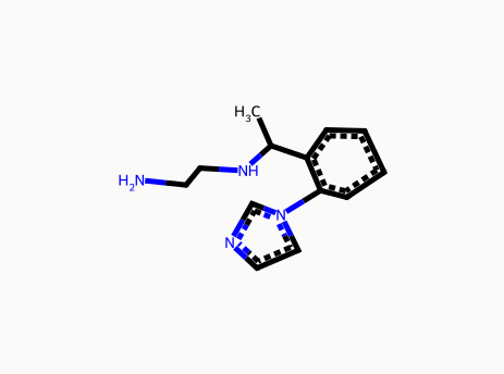 CC(NCCN)c1ccccc1-n1ccnc1